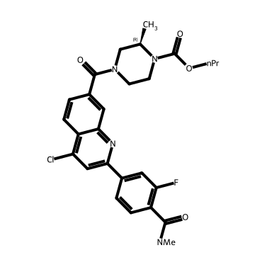 CCCOC(=O)N1CCN(C(=O)c2ccc3c(Cl)cc(-c4ccc(C(=O)NC)c(F)c4)nc3c2)C[C@H]1C